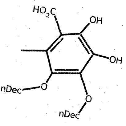 CCCCCCCCCCOc1c(C)c(C(=O)O)c(O)c(O)c1OCCCCCCCCCC